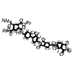 CNC(=O)c1cc(C(=O)OC(C)C)c(C(=O)Nc2ccc(-c3ccc(N4C(=O)c5ccc(C(c6ccc7c(c6)C(=O)N(C)C7=O)(C(F)(F)F)C(F)(F)F)cc5C4=O)cc3C(F)(F)F)c(C(F)(F)F)c2)cc1C(=O)OC(C)C